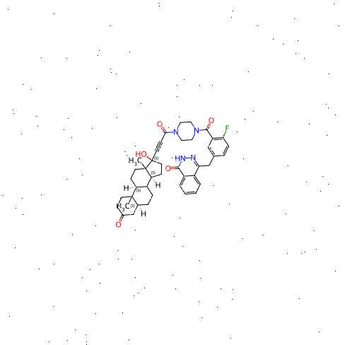 CC12CCC(=O)C[C@@H]1CCC1[C@@H]2CCC2(C)[C@H]1CC[C@@]2(O)C#CC(=O)N1CCN(C(=O)c2cc(Cc3n[nH]c(=O)c4ccccc34)ccc2F)CC1